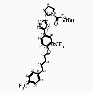 CC(C)(C)OC(=O)N1CCC[C@H]1c1nc(-c2ccc(OCCCCc3ccc(C(F)(F)F)cc3)c(C(F)(F)F)c2)no1